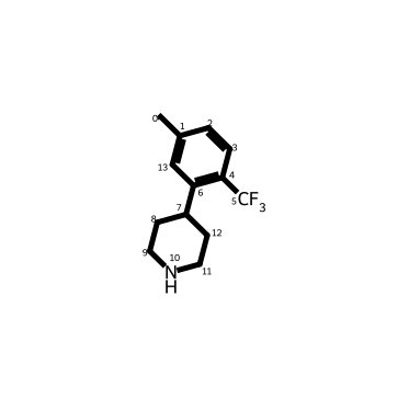 [CH2]c1ccc(C(F)(F)F)c(C2CCNCC2)c1